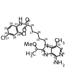 COC(C)c1nc2c(N)ncc(C)c2n1CCCCCS(=O)(=O)Nc1ccc(Cl)cc1Cl